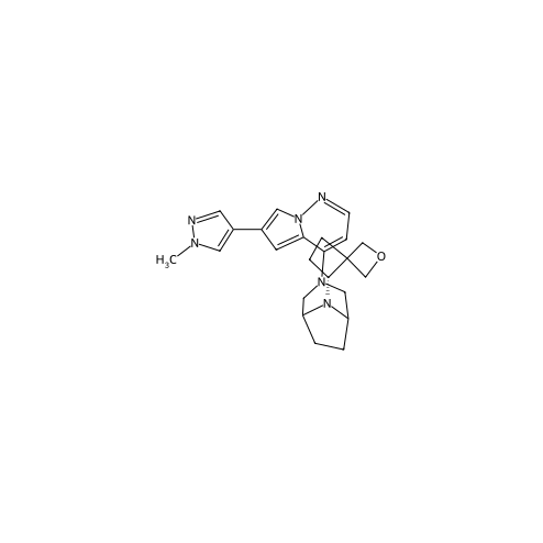 Cn1cc(-c2cc3c(N4CC5CCC(C4)N5[C@@H]4CCC45COC5)ccnn3c2)cn1